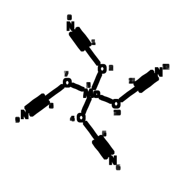 N#C[O][Mo]([O]C#N)([O]C#N)[O]C#N